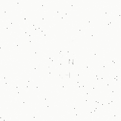 CC(C)C1=NC2CCC=CC2S1